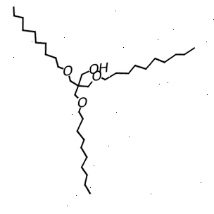 CCCCCCCCCCOCC(CO)(COCCCCCCCCCC)COCCCCCCCCCC